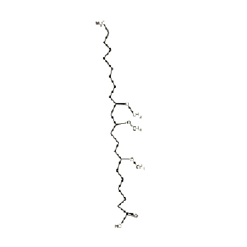 CCCCCCCCCC(CC(CCCC(CCCCCC(=O)O)OC)OC)OC